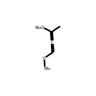 CC(=C=COC(C)(C)C)OCC(C)C